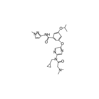 CC(C)Oc1cc(Oc2cnc(N(CC3CC3)C(=O)CN(C)C)cn2)cc(C(=O)Nc2ccn(C)n2)c1